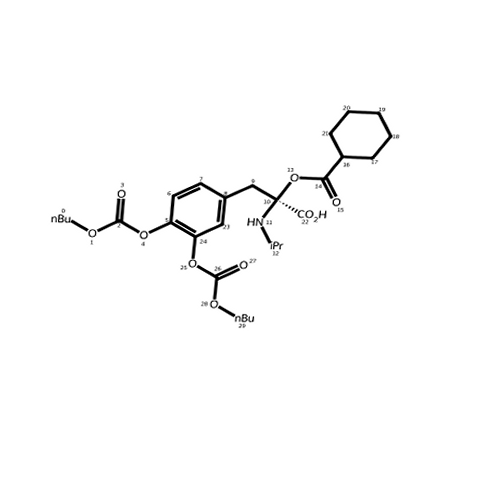 CCCCOC(=O)Oc1ccc(C[C@](NC(C)C)(OC(=O)C2CCCCC2)C(=O)O)cc1OC(=O)OCCCC